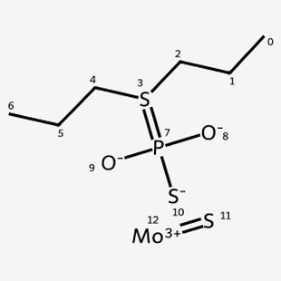 CCCS(CCC)=P([O-])([O-])[S-].[S]=[Mo+3]